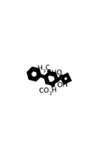 CC1=CC(O)(C2(O)CCC2)C(C(=O)O)C=C1c1ccccc1